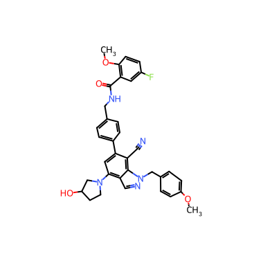 COc1ccc(Cn2ncc3c(N4CCC(O)C4)cc(-c4ccc(CNC(=O)c5cc(F)ccc5OC)cc4)c(C#N)c32)cc1